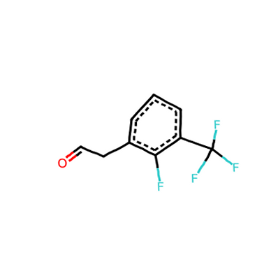 O=CCc1cccc(C(F)(F)F)c1F